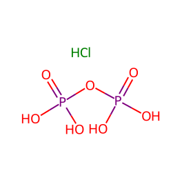 Cl.O=P(O)(O)OP(=O)(O)O